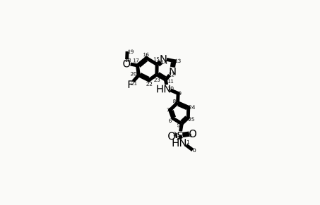 CNS(=O)(=O)c1ccc(CNc2ncnc3cc(OC)c(F)cc23)cc1